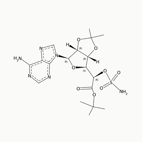 CC(C)(C)OC(=O)[C@H](OS(N)(=O)=O)[C@H]1O[C@@H](n2cnc3c(N)ncnc32)[C@@H]2OC(C)(C)O[C@@H]21